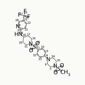 CS(=O)(=O)N1CCN(c2ccc(S(=O)(=O)N3CCC(Nc4ccc(C(F)(F)F)cn4)CC3)cc2)CC1